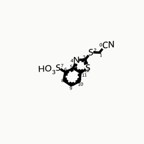 N#CCSc1nc2c(S(=O)(=O)O)cccc2s1